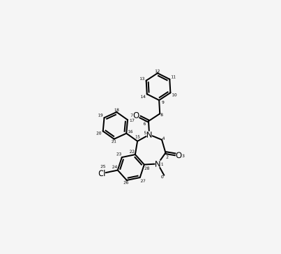 CN1C(=O)CN(C(=O)Cc2ccccc2)C(c2ccccc2)c2cc(Cl)ccc21